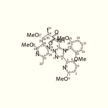 COc1cccc(-c2nnc(NS(=O)(=O)[C@H](C)[C@@H](OC)c3ncc(C)nc3OC)n2-c2c(OC)cccc2OC)n1